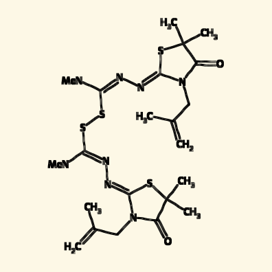 C=C(C)CN1C(=O)C(C)(C)SC1=NN=C(NC)SSC(=NN=C1SC(C)(C)C(=O)N1CC(=C)C)NC